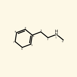 CNCCC1=CCCC=C1